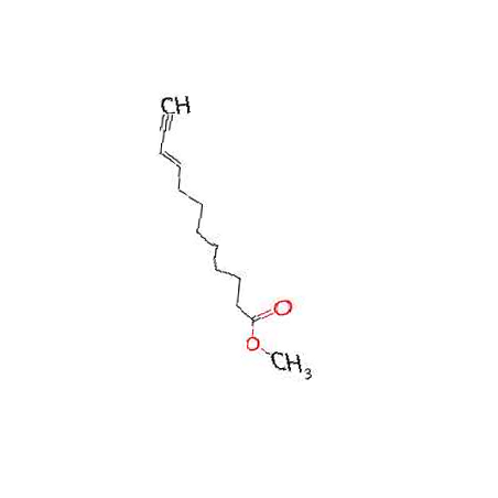 C#CC=CCCCCCCCC(=O)OC